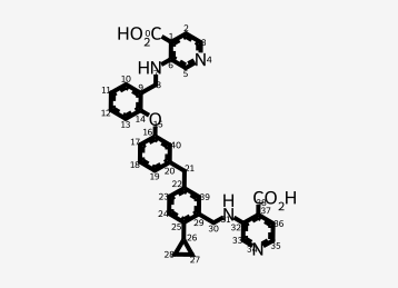 O=C(O)c1ccncc1NCc1ccccc1Oc1cccc(Cc2ccc(C3CC3)c(CNc3cnccc3C(=O)O)c2)c1